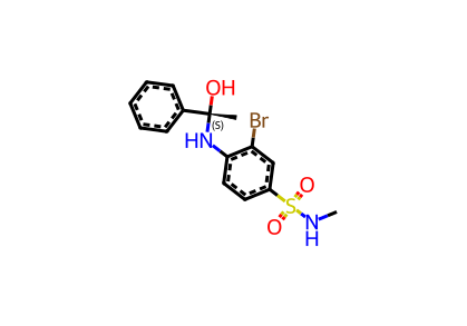 CNS(=O)(=O)c1ccc(N[C@@](C)(O)c2ccccc2)c(Br)c1